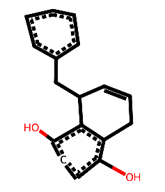 Oc1ccc(O)c2c1CC=CC2Cc1ccccc1